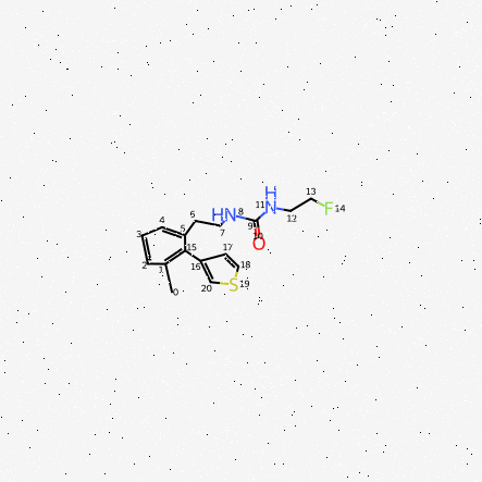 Cc1cccc(CCNC(=O)NCCF)c1-c1ccsc1